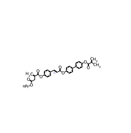 C=C(C)C(=O)Oc1ccc(-c2ccc(OC(=O)/C=C/c3ccc(OC(=O)C(=C)CC(=O)OCCC)cc3)cc2)cc1